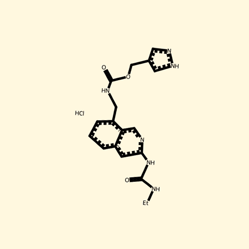 CCNC(=O)Nc1cc2cccc(CNC(=O)OCc3cn[nH]c3)c2cn1.Cl